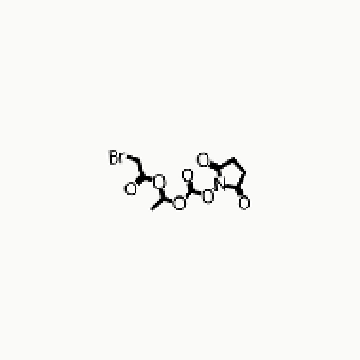 CC(OC(=O)CBr)OC(=O)ON1C(=O)CCC1=O